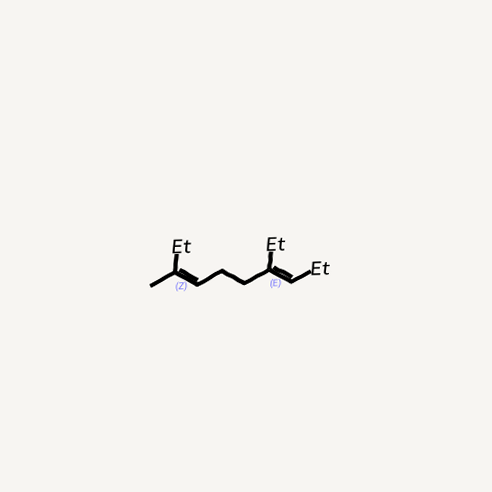 [CH2]C/C=C(\CC)CC/C=C(/C)CC